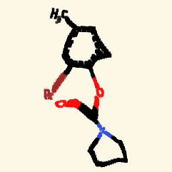 Cc1ccc(OC(=O)N2CCCC2)c(Br)c1